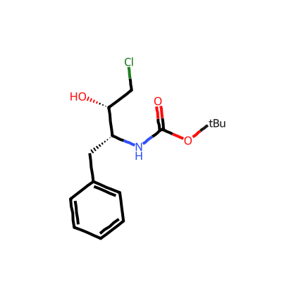 CC(C)(C)OC(=O)N[C@H](Cc1ccccc1)[C@H](O)CCl